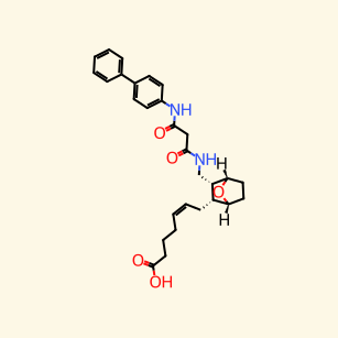 O=C(O)CCC/C=C\C[C@@H]1[C@H](CNC(=O)CC(=O)Nc2ccc(-c3ccccc3)cc2)[C@@H]2CC[C@H]1O2